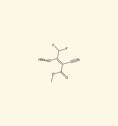 COC(=O)C(C#N)=C(O)C(F)F.[NaH]